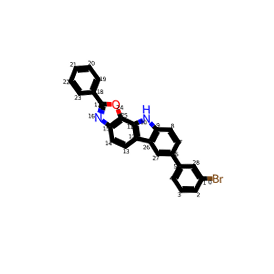 Brc1cccc(-c2ccc3[nH]c4c(ccc5nc(-c6ccccc6)oc54)c3c2)c1